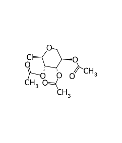 CC(=O)O[C@@H]1[C@H](OC(C)=O)[C@@H](Cl)OC[C@H]1OC(C)=O